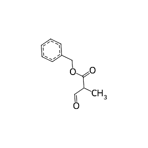 CC(C=O)C(=O)OCc1ccccc1